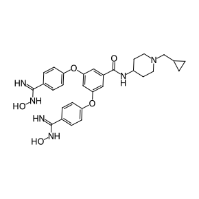 N=C(NO)c1ccc(Oc2cc(Oc3ccc(C(=N)NO)cc3)cc(C(=O)NC3CCN(CC4CC4)CC3)c2)cc1